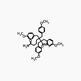 COc1ccc(CC(CCCC(N)=O)(Cc2ccc(OC)cc2)C(Cc2ccc(OC)cc2)(Cc2ccc(OC)cc2)C(N)=O)cc1